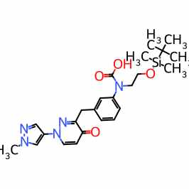 Cn1cc(-n2ccc(=O)c(Cc3cccc(N(CCO[Si](C)(C)C(C)(C)C)C(=O)O)c3)n2)cn1